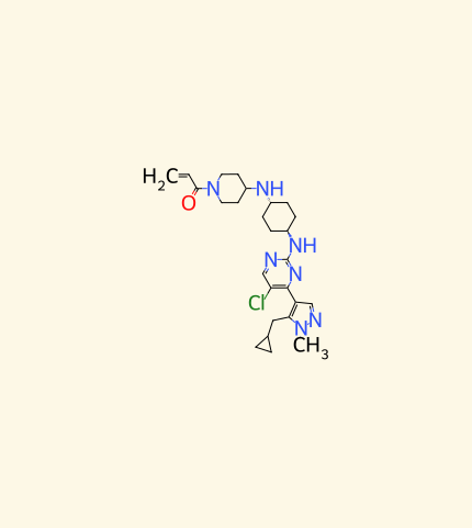 C=CC(=O)N1CCC(N[C@H]2CC[C@H](Nc3ncc(Cl)c(-c4cnn(C)c4CC4CC4)n3)CC2)CC1